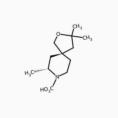 C[C@@H]1C[C@@]2(CCN1C(=O)O)COC(C)(C)C2